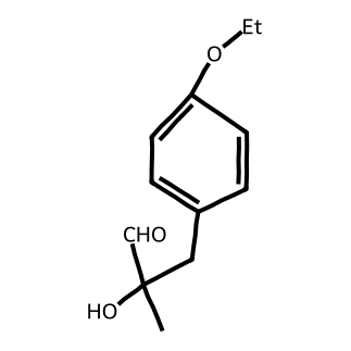 [CH2]COc1ccc(CC(C)(O)C=O)cc1